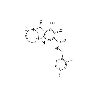 C[C@H]1C=CC[C@H]2CN1C(=O)c1c(O)c(=O)c(C(=O)NCc3ccc(F)cc3F)cn12